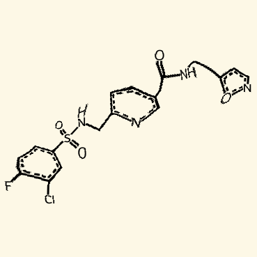 O=C(NCc1ccno1)c1ccc(CNS(=O)(=O)c2ccc(F)c(Cl)c2)nc1